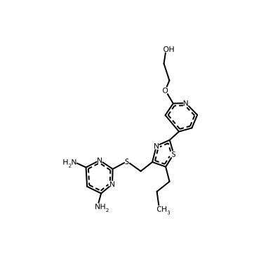 CCCc1sc(-c2ccnc(OCCO)c2)nc1CSc1nc(N)cc(N)n1